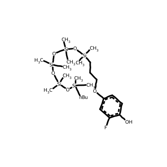 CCCC[Si](C)(C)O[Si](C)(C)O[Si](C)(C)O[Si](C)(C)O[Si](C)(C)CCCOc1ccc(O)c(F)c1